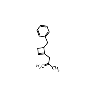 C=C(C)CC1=CCC1Cc1ccccc1